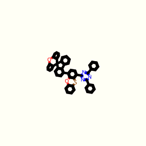 c1ccc(-c2nc(-c3ccccc3)nc(-c3ccc(-c4cccc5c4-c4ccccc4C54c5ccccc5Oc5ccccc54)c4c3Sc3ccccc3O4)n2)cc1